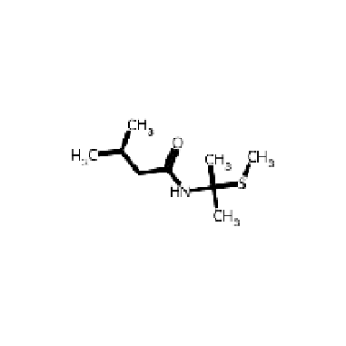 CSC(C)(C)NC(=O)CC(C)C